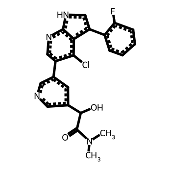 CN(C)C(=O)C(O)c1cncc(-c2cnc3[nH]cc(-c4ccccc4F)c3c2Cl)c1